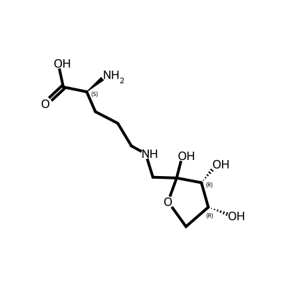 N[C@@H](CCCNCC1(O)OC[C@@H](O)[C@H]1O)C(=O)O